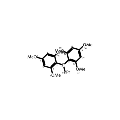 CCCP(c1c(OC)cc(OC)cc1OC)c1c(OC)cc(OC)cc1OC